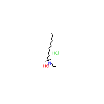 CCCCCCCCCCCC(C)(C)N(O)CCC.Cl